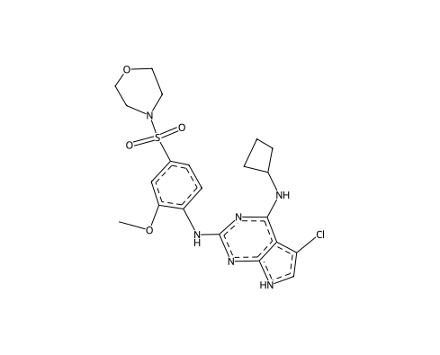 COc1cc(S(=O)(=O)N2CCOCC2)ccc1Nc1nc(NC2CCC2)c2c(Cl)c[nH]c2n1